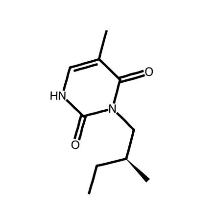 CC[C@H](C)Cn1c(=O)[nH]cc(C)c1=O